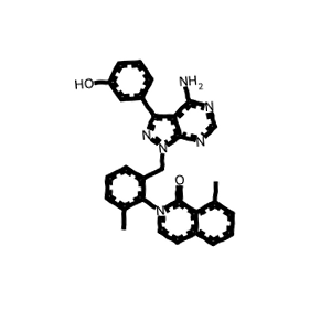 Cc1cccc(Cn2nc(-c3cccc(O)c3)c3c(N)ncnc32)c1-n1ccc2cccc(C)c2c1=O